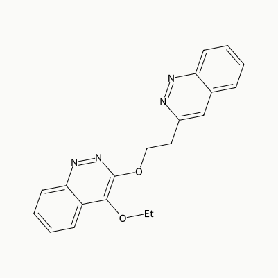 CCOc1c(OCCc2cc3ccccc3nn2)nnc2ccccc12